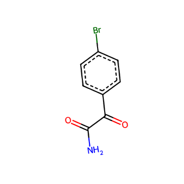 NC(=O)C(=O)c1ccc(Br)cc1